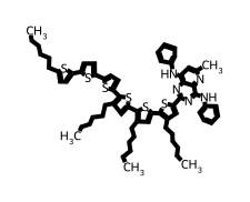 CCCCCCc1ccc(-c2ccc(-c3ccc(-c4sc(-c5sc(-c6sc(-c7nc(Nc8ccccc8)c8nc(C)cc(Nc9ccccc9)c8n7)cc6CCCCCC)cc5CCCCCC)cc4CCCCCC)s3)s2)s1